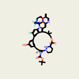 C=C(/C=N\C(=C\c1c2c3cc(c(F)cc3n1CC(F)(F)F)-c1cc(O)cc(c1)C[C@H]1C(=[N+]1C(=O)OC(C)(C)C)N1CCC[C@H](N1)C(=O)OCC(C)(C)C2)[C@H](C)OC)N1CCN(C)CC1